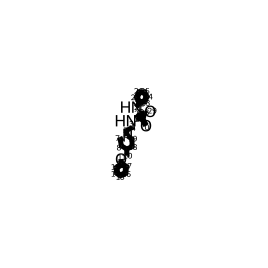 O=c1c(NCCN2CCC(COc3ccccc3)CC2)c(Nc2ccccc2)c1=O